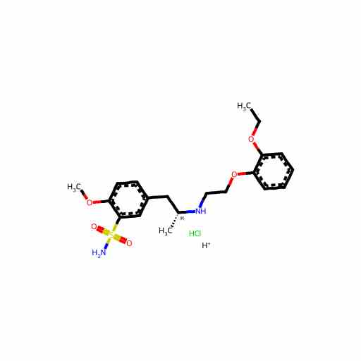 CCOc1ccccc1OCCN[C@H](C)Cc1ccc(OC)c(S(N)(=O)=O)c1.Cl.[H+]